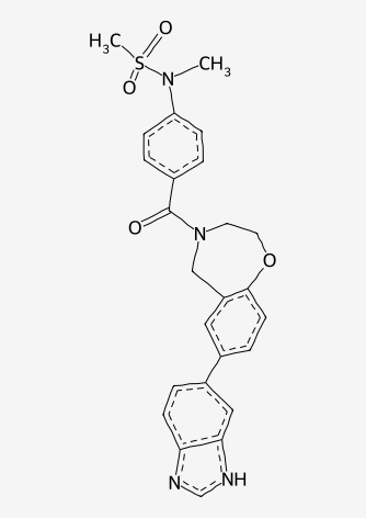 CN(c1ccc(C(=O)N2CCOc3ccc(-c4ccc5nc[nH]c5c4)cc3C2)cc1)S(C)(=O)=O